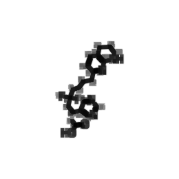 O=C(O)C[C@H](CC(F)(F)CCCCc1ccc2c(n1)NCCC2)c1cncnc1